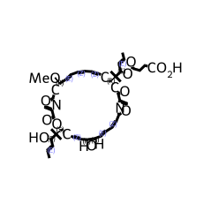 C/C=C/[C@H](OC(=O)CCC(=O)O)C(C)(C)[C@@H]1C\C=C/C=C\C=C\[C@H](OC)Cc2nc(co2)C(=O)O[C@H](C(C)(C)[C@@H](O)/C=C/C)C/C=C\[C@H]2O[C@H]2/C=C/C=C\c2nc(co2)C(=O)C1